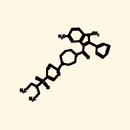 CCN(CC)S(=O)(=O)c1ccc(N2CCCN(C(=O)c3c(-c4ccccc4)n(C)c4ccc(C)cc34)CC2)nc1